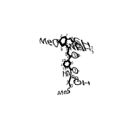 COc1ccc2c(c1)C(=CC(=O)c1cccc(C(=O)N[C@H](CO)CCSC)c1)NC(C)(C)C2